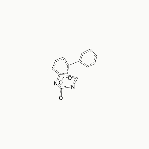 O=c1nc2c3c(-c4ccccc4)cccc3n1OCO2